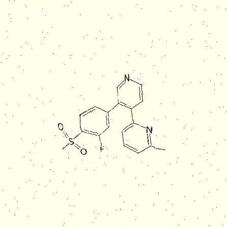 Cc1cccc(-c2ccncc2-c2ccc(S(C)(=O)=O)c(F)c2)n1